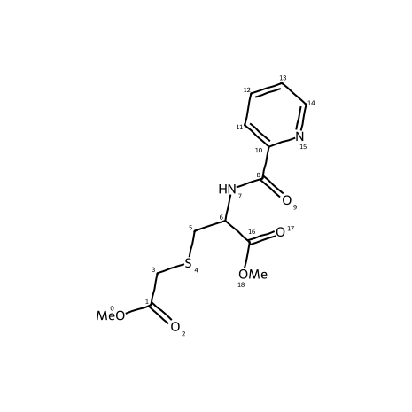 COC(=O)CSCC(NC(=O)c1ccccn1)C(=O)OC